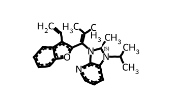 C=Cc1c(C(=C(C)C)N2c3ncccc3N(C(C)C)[C@@H]2C)oc2ccccc12